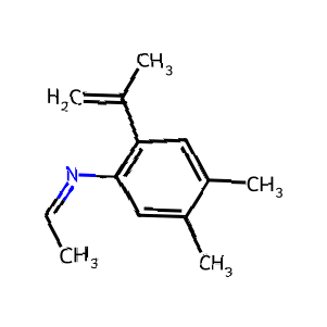 C=C(C)c1cc(C)c(C)cc1/N=C\C